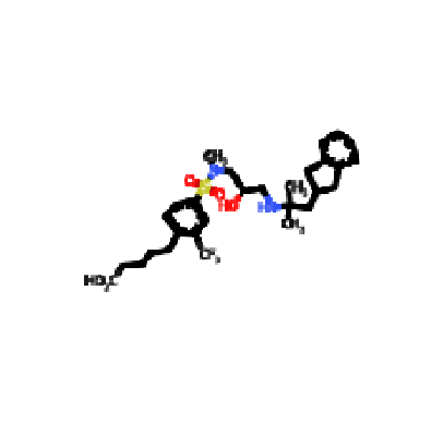 CN(C[C@H](O)CNC(C)(C)CC1Cc2ccccc2C1)S(=O)(=O)c1ccc(CCCCC(=O)O)c(C(F)(F)F)c1